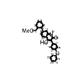 COCc1ccccc1-c1ccc2c(O)c(-c3ccc(Oc4ccccc4)cc3)c(=O)n(C)c2c1